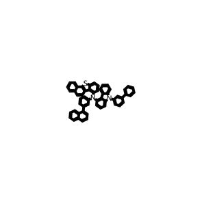 c1ccc(-c2cccc(-n3c4ccccc4c4c(N(c5cccc(-c6cccc7ccccc67)c5)c5cccc6sc7c8ccccc8ccc7c56)cccc43)c2)cc1